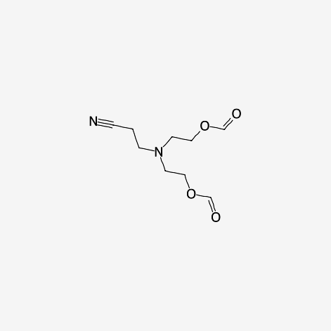 N#CCCN(CCOC=O)CCOC=O